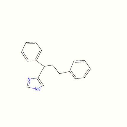 c1ccc(CCC(c2ccccc2)c2c[nH]cn2)cc1